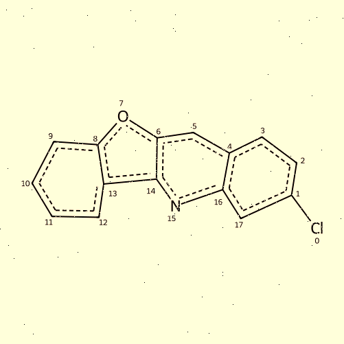 Clc1ccc2cc3oc4ccccc4c3nc2c1